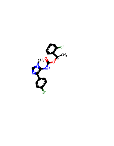 C[C@@H](OC(=O)Nc1c(-c2ccc(Br)cc2)ncn1C)c1ccccc1Cl